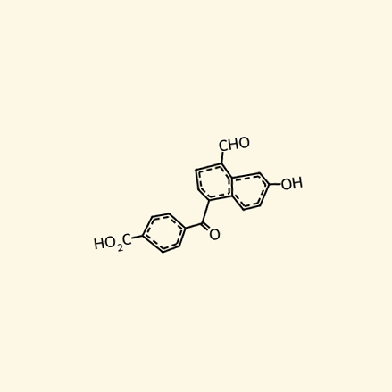 O=Cc1ccc(C(=O)c2ccc(C(=O)O)cc2)c2ccc(O)cc12